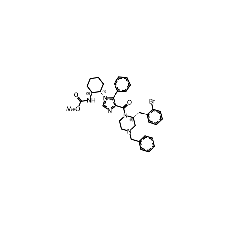 COC(=O)N[C@H]1CCCC[C@@H]1n1cnc(C(=O)N2CCN(Cc3ccccc3)C[C@H]2Cc2ccccc2Br)c1-c1ccccc1